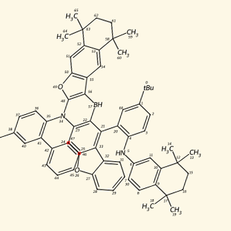 CC(C)(C)c1ccc(Nc2ccc3c(c2)C(C)(C)CCC3(C)C)c(-c2c3c(cc4oc5ccccc5c24)N(c2ccc(C(C)(C)C)cc2-c2ccccc2)c2oc4cc5c(cc4c2B3)C(C)(C)CCC5(C)C)c1